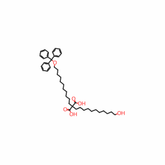 O=C(O)C(CCCCCCCCCCCO)(CCCCCCCCCCCOC(c1ccccc1)(c1ccccc1)c1ccccc1)C(=O)O